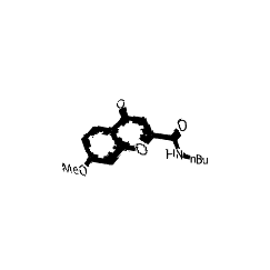 CCCCNC(=O)c1cc(=O)c2ccc(OC)cc2o1